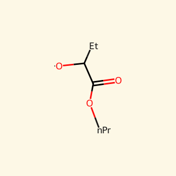 CCCOC(=O)C([O])CC